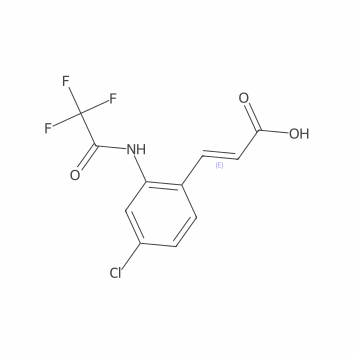 O=C(O)/C=C/c1ccc(Cl)cc1NC(=O)C(F)(F)F